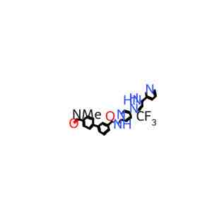 CNC(=O)c1ccc(-c2cccc(C(=O)Nc3ccc(N/C(=C\C(=N)c4cccnc4)C(F)(F)F)cn3)c2)cc1